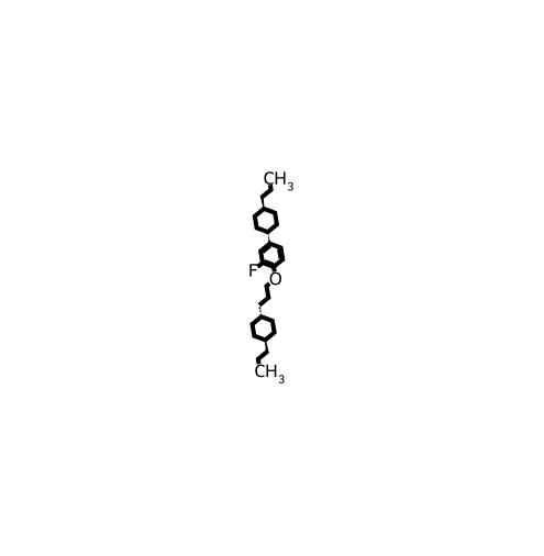 CCC[C@H]1CC[C@H](CCCOc2ccc([C@H]3CC[C@H](CCC)CC3)cc2F)CC1